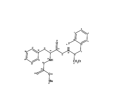 CCOC(=O)C(Cc1ccccc1I)NCC(=O)C(Cc1ccccc1)NCC(=O)OC(C)(C)C